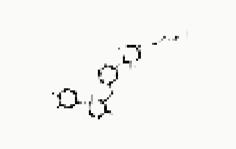 CCOCCOc1cnc(-c2cccc(Cc3nn(-c4ccc(F)c(F)c4)ccc3=O)c2)nc1